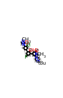 Cn1ccn(-c2ccc(-c3cc(F)cc(-c4cc(N5CCN(C(C)(C)C)CC5)n(C)c(=O)c4)c3O)cc2Cl)c1=O